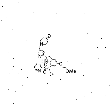 COCCOc1cc2c(c(N(C3CC3)S(=O)(=O)c3ccccn3)c1)NC(C1=NCC(CN3CC[S+]([O-])CC3)S1)C2